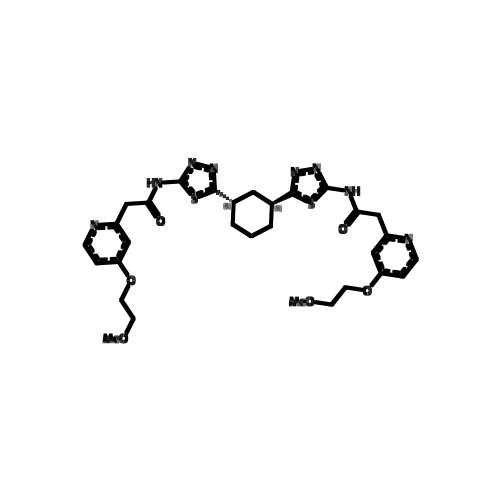 COCCOc1ccnc(CC(=O)Nc2nnc([C@H]3CCC[C@H](c4nnc(NC(=O)Cc5cc(OCCOC)ccn5)s4)C3)s2)c1